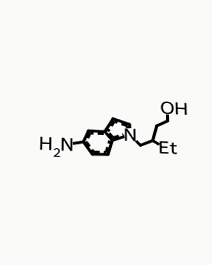 CCC(CCO)Cn1ccc2cc(N)ccc21